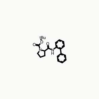 CC(C)(C)OC(=O)N1CCCC1C(=O)Nc1ccccc1-c1ccccc1